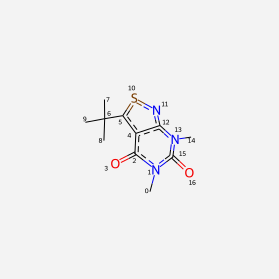 Cn1c(=O)c2c(C(C)(C)C)snc2n(C)c1=O